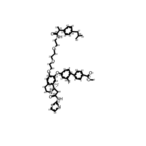 COC(=O)c1ccc(-c2ccc(Oc3cc4c(cc3OCCOCCOCCNC(=O)C(C)c3ccc(CC(C)C)cc3)CCN[C@]4(C)CC(=O)Nc3nccs3)cc2F)cc1